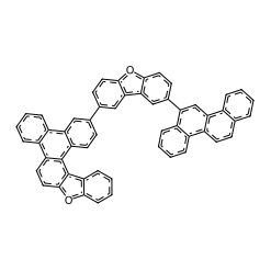 c1ccc2c(c1)ccc1c3ccccc3c(-c3ccc4oc5ccc(-c6ccc7c(c6)c6ccccc6c6ccc8oc9ccccc9c8c67)cc5c4c3)cc21